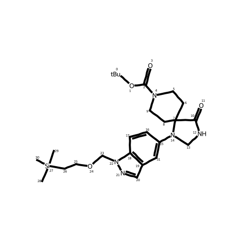 CC(C)(C)OC(=O)N1CCC2(CC1)C(=O)NCN2c1ccc2c(cnn2COCC[Si](C)(C)C)c1